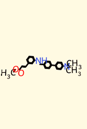 COC(=O)/C=C/c1cccc(NCc2ccc(-c3ccc(N(C)C)cc3)cc2)c1